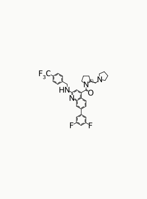 O=C(c1cc(NCc2ccc(C(F)(F)F)cc2)nc2cc(-c3cc(F)cc(F)c3)ccc12)N1CCC[C@H]1CN1CCCC1